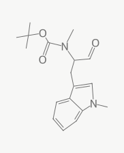 CN(C(=O)OC(C)(C)C)C(C=O)Cc1cn(C)c2ccccc12